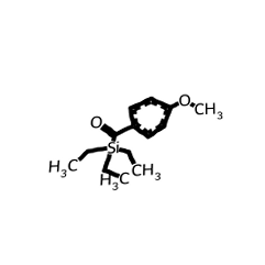 CC[Si](CC)(CC)C(=O)c1ccc(OC)cc1